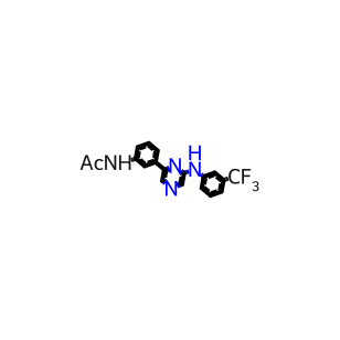 CC(=O)Nc1cccc(-c2cncc(Nc3cccc(C(F)(F)F)c3)n2)c1